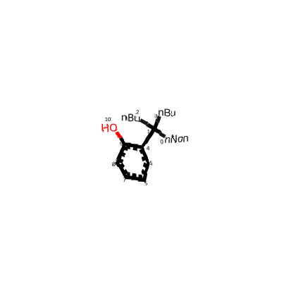 CCCCCCCCCC(CCCC)(CCCC)c1ccccc1O